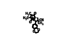 CN1C(=O)[C@@]23C[C@](C)(C#N)C(c4ccc5c(c4)OCCO5)N2C(=O)[C@]1(C)SS3